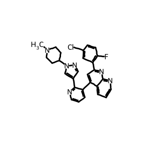 CN1CCC(n2cc(-c3ncccc3-c3cc(-c4cc(Cl)ccc4F)nc4ncccc34)cn2)CC1